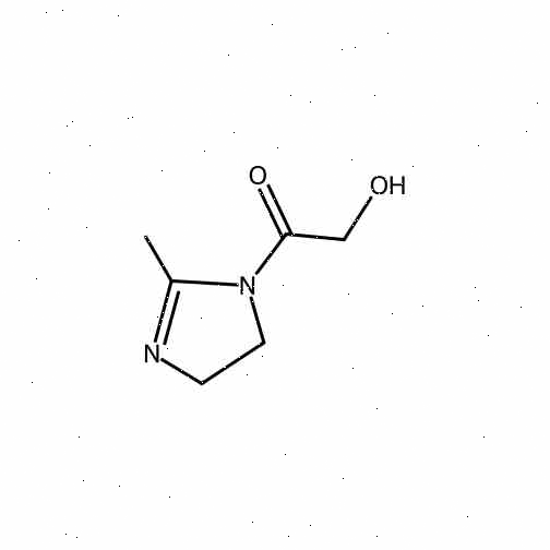 CC1=NCCN1C(=O)CO